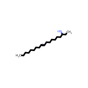 CCCCCCCC/C=C/CCCCCCC([NH])CC